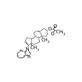 C[C@]12CC[C@@H](OS(C)(=O)=O)CC1=CCC1C2CC[C@]2(C)C(n3cnc4ccccc43)=CCC12